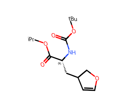 CC(C)OC(=O)[C@@H](CC1C=COC1)NC(=O)OC(C)(C)C